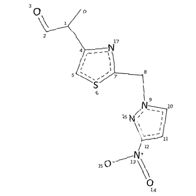 CC(C=O)c1csc(Cn2ccc([N+](=O)[O-])n2)n1